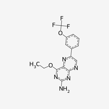 CCOc1nc(N)nc2ncc(-c3cccc(OC(F)(F)F)c3)nc12